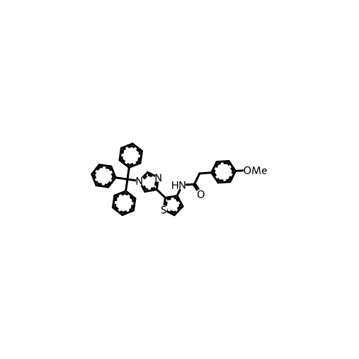 COc1ccc(CC(=O)Nc2ccsc2-c2cn(C(c3ccccc3)(c3ccccc3)c3ccccc3)cn2)cc1